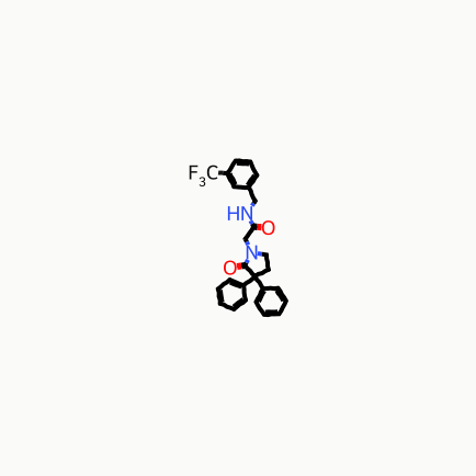 O=C(CN1CCC(c2ccccc2)(c2ccccc2)C1=O)NCc1cccc(C(F)(F)F)c1